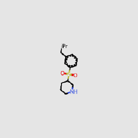 CC(C)Cc1cccc(S(=O)(=O)[C]2CCCNC2)c1